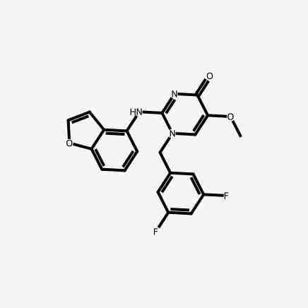 COc1cn(Cc2cc(F)cc(F)c2)c(Nc2cccc3occc23)nc1=O